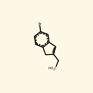 O=C(O)CC1=Cc2cc(Br)ccc2C1